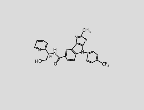 Cc1nc2c3cc(C(=O)N[C@@H](CO)c4ccccn4)ccc3n(-c3ccc(C(F)(F)F)cc3)c2s1